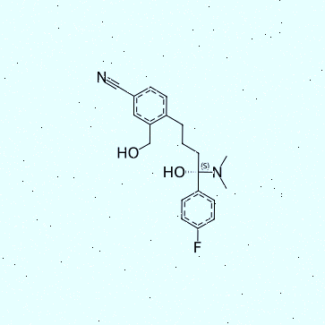 CN(C)[C@](O)(CCCc1ccc(C#N)cc1CO)c1ccc(F)cc1